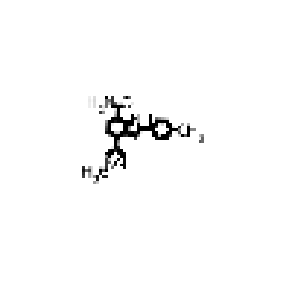 Cc1ccc(-c2cc3c(-c4cnn(C)c4)ccc(C(N)=O)c3[nH]2)cc1